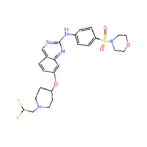 O=S(=O)(c1ccc(Nc2ncc3ccc(OC4CCN(CC(F)F)CC4)cc3n2)cc1)N1CCOCC1